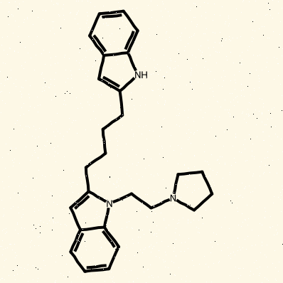 c1ccc2[nH]c(CCCCc3cc4ccccc4n3CCN3CCCC3)cc2c1